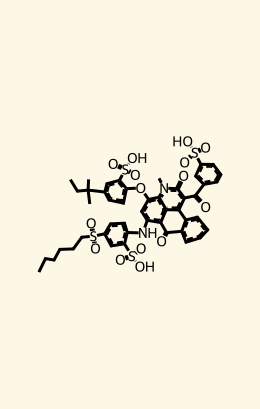 CCCCCCS(=O)(=O)c1ccc(Nc2cc(Oc3ccc(C(C)(C)CC)cc3S(=O)(=O)O)c3c4c2C(=O)c2ccccc2-c4c(C(=O)c2cccc(S(=O)(=O)O)c2)c(=O)n3C)c(S(=O)(=O)O)c1